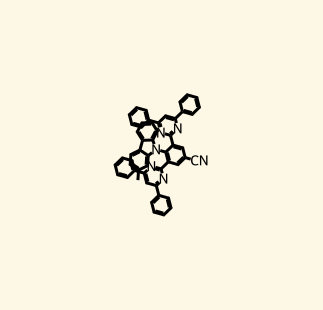 Cc1ccc2c3ccccc3n(-c3c(-c4nc(-c5ccccc5)cc(-c5ccccc5)n4)cc(C#N)cc3-c3nc(-c4ccccc4)cc(-c4ccccc4)n3)c2c1